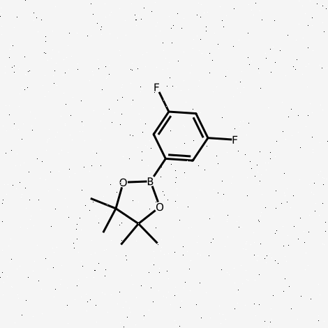 CC1(C)OB(c2cc(F)cc(F)c2)OC1(C)C